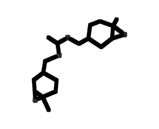 CC(OCC1CCC2(C)OC2C1)OCC1CCC2(C)OC2C1